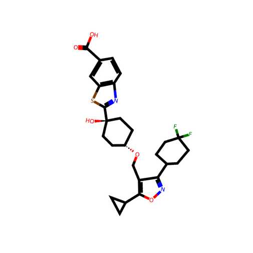 O=C(O)c1ccc2nc([C@]3(O)CC[C@H](OCc4c(C5CCC(F)(F)CC5)noc4C4CC4)CC3)sc2c1